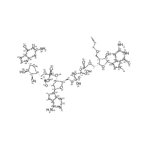 C=CCOC[C@@H]1[C@@H](COP(=O)(O)OP(=O)(O)OP(=O)(O)OC[C@H]2O[C@@H](n3cnc4c(N)ncnc43)[C@H](OC)[C@@H]2OP(=O)(O)OC[C@H]2O[C@@H](n3cnc4c(=O)[nH]c(N)nc43)[C@H](O)[C@@H]2O)OC(n2c[n+](C)c3c(=O)[nH]c(N)nc32)[C@@H]1O